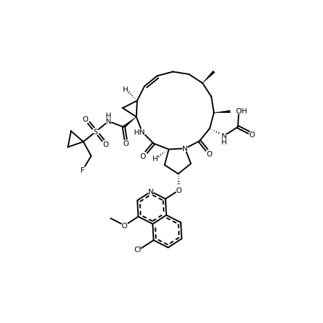 COc1cnc(O[C@@H]2C[C@H]3C(=O)N[C@]4(C(=O)NS(=O)(=O)C5(CF)CC5)C[C@H]4C=CCC[C@@H](C)C[C@@H](C)[C@H](NC(=O)O)C(=O)N3C2)c2cccc(Cl)c12